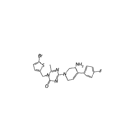 Cc1nc(N2CC=C(c3ccc(F)cc3)[C@@H](N)C2)nc(=O)n1Cc1ccc(Br)s1